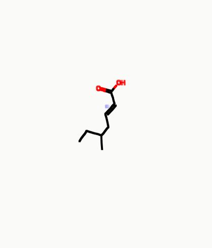 CCC(C)C/C=C/C(=O)O